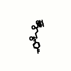 O=C(CCC[S+]([O-])c1ccc(F)cc1)NO